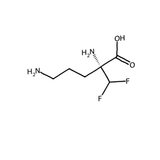 NCCC[C@@](N)(C(=O)O)C(F)F